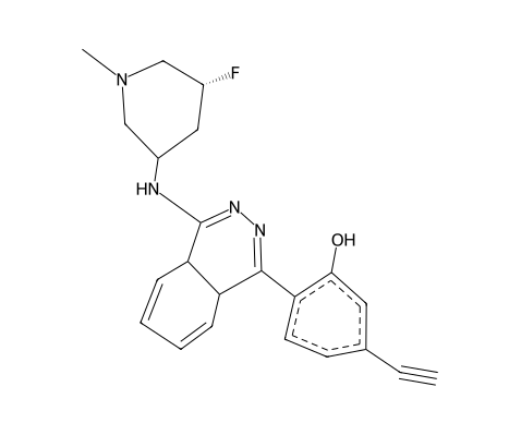 C#Cc1ccc(C2=NN=C(NC3C[C@@H](F)CN(C)C3)C3C=CC=CC23)c(O)c1